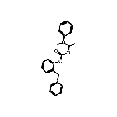 CC(OC(=O)Oc1ccccc1Cc1ccccc1)N(C)c1ccccc1